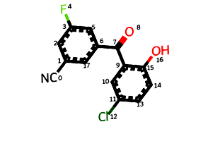 N#Cc1cc(F)cc(C(=O)c2cc(Cl)ccc2O)c1